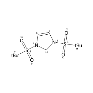 CC(C)(C)S(=O)(=O)N1C=CN(S(=O)(=O)C(C)(C)C)C1